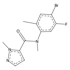 Cc1cc(Br)c(F)cc1N(C)C(=O)c1ccnn1C